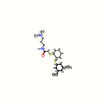 CCN(CC)CCCN(C)C(=O)CSC1CCCCC1Sc1cc(C(C)(C)C)cc(C(C)(C)C)c1